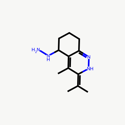 CC(C)=C1NN=C2CCCC(NN)C2=C1C